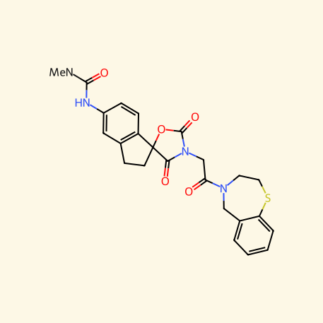 CNC(=O)Nc1ccc2c(c1)CCC21OC(=O)N(CC(=O)N2CCSc3ccccc3C2)C1=O